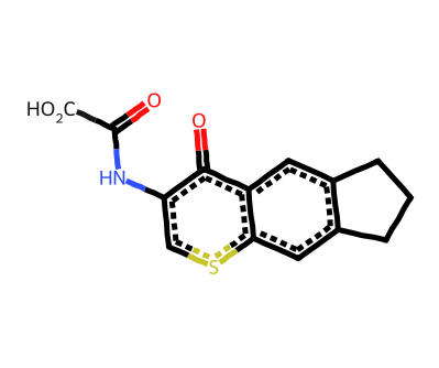 O=C(O)C(=O)Nc1csc2cc3c(cc2c1=O)CCC3